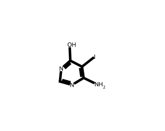 Nc1ncnc(O)c1I